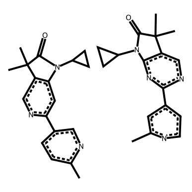 Cc1cc(-c2ncc3c(n2)N(C2CC2)C(=O)C3(C)C)ccn1.Cc1ccc(-c2cc3c(cn2)C(C)(C)C(=O)N3C2CC2)cn1